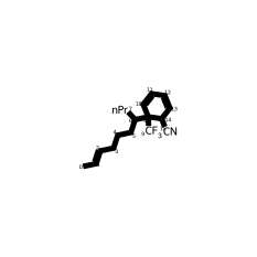 C/C=C/CCCC(CCC)C1(C(F)(F)F)C=CC=CC1C#N